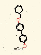 CCCCCCCCOc1ccc(-c2ccc(OCC3CC[CH]CC3)cc2)cc1